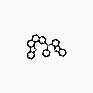 c1ccc(N(c2ccc3ccc4ccc5c6ccccc6[se]c5c4c3c2)c2cccc3c2sc2ccccc23)cc1